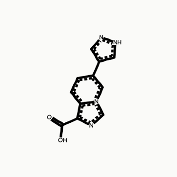 O=C(O)c1ncn2cc(-c3cn[nH]c3)ccc12